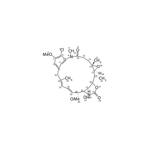 COc1cc2cc(c1Cl)N(C)C(=O)CC[C@]1(C)O[C@H]1[C@H](C)C1C[C@@](O)(NC(=O)O1)[C@H](OC)/C=C/C=C(\C)C2